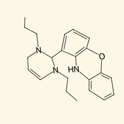 CCCN1C=CCN(CCC)C1c1cccc2c1Nc1ccccc1O2